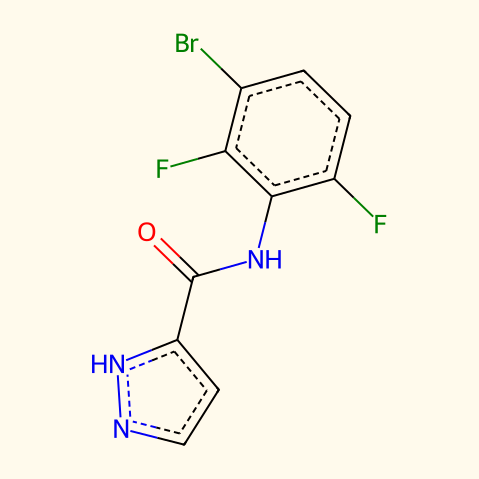 O=C(Nc1c(F)ccc(Br)c1F)c1ccn[nH]1